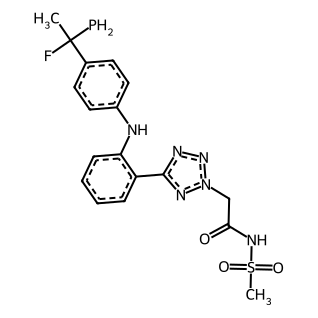 CC(F)(P)c1ccc(Nc2ccccc2-c2nnn(CC(=O)NS(C)(=O)=O)n2)cc1